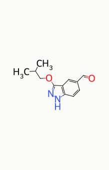 CC(C)COc1n[nH]c2ccc(C=O)cc12